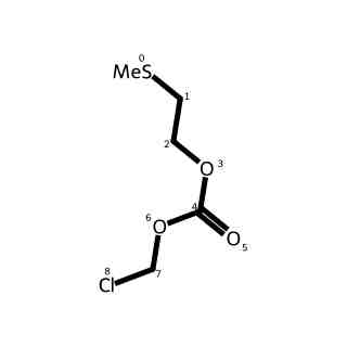 CSCCOC(=O)OCCl